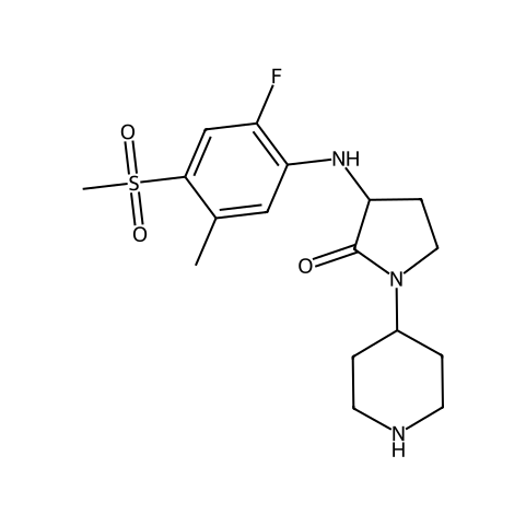 Cc1cc(NC2CCN(C3CCNCC3)C2=O)c(F)cc1S(C)(=O)=O